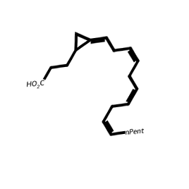 CCCCC/C=C\C/C=C\C/C=C\C/C=C1/CC1CCC(=O)O